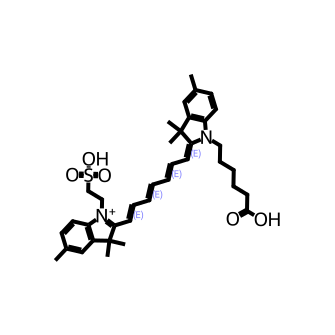 Cc1ccc2c(c1)C(C)(C)C(/C=C/C=C/C=C/C=C1/N(CCCCCC(=O)O)c3ccc(C)cc3C1(C)C)=[N+]2CCS(=O)(=O)O